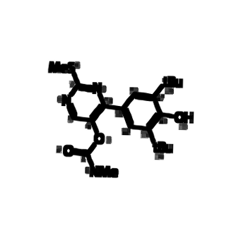 CNC(=O)Oc1cnc(SC)nc1-c1cc(C(C)(C)C)c(O)c(C(C)(C)C)c1